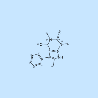 Cc1[nH]c2c(c1-c1ccccc1)c(=O)n(C)c(=O)n2C